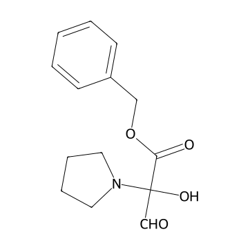 O=CC(O)(C(=O)OCc1ccccc1)N1CCCC1